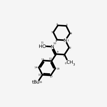 CC(CN1CCCCC1)C(=NO)c1ccc(C(C)(C)C)cc1